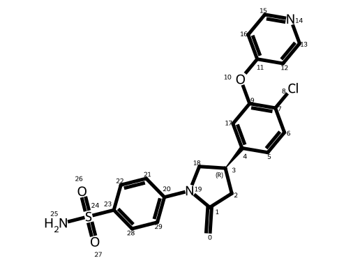 C=C1C[C@H](c2ccc(Cl)c(Oc3ccncc3)c2)CN1c1ccc(S(N)(=O)=O)cc1